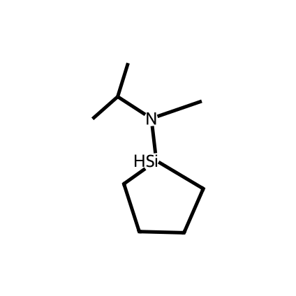 CC(C)N(C)[SiH]1CCCC1